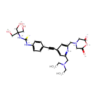 O=C(O)CN(CC(=O)O)Cc1cc(C#Cc2ccc(NC(=S)NC(CO)(CO)CO)cc2)cc(CN2CC(=O)OC(=O)C2)n1